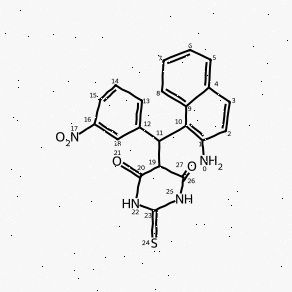 Nc1ccc2ccccc2c1C(c1cccc([N+](=O)[O-])c1)C1C(=O)NC(=S)NC1=O